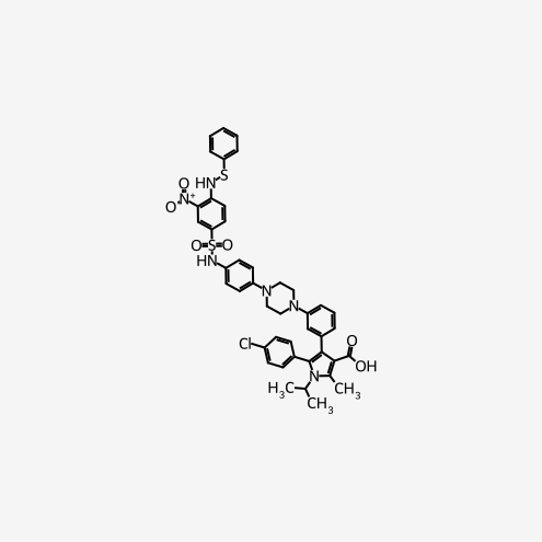 Cc1c(C(=O)O)c(-c2cccc(N3CCN(c4ccc(NS(=O)(=O)c5ccc(NSc6ccccc6)c([N+](=O)[O-])c5)cc4)CC3)c2)c(-c2ccc(Cl)cc2)n1C(C)C